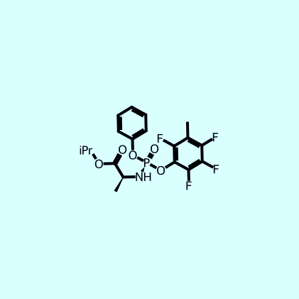 Cc1c(F)c(F)c(F)c(O[P@](=O)(N[C@@H](C)C(=O)OC(C)C)Oc2ccccc2)c1F